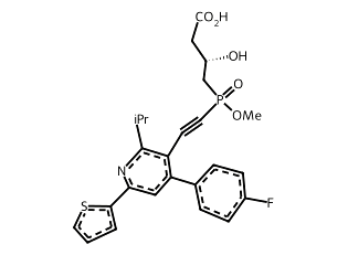 COP(=O)(C#Cc1c(-c2ccc(F)cc2)cc(-c2cccs2)nc1C(C)C)C[C@@H](O)CC(=O)O